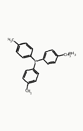 B.Cc1ccc(P(c2ccc(C)cc2)c2ccc(C)cc2)cc1